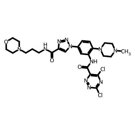 CN1CCN(c2ccc(-n3cc(C(=O)NCCCN4CCOCC4)nn3)cc2NC(=O)c2nnc(Cl)nc2Cl)CC1